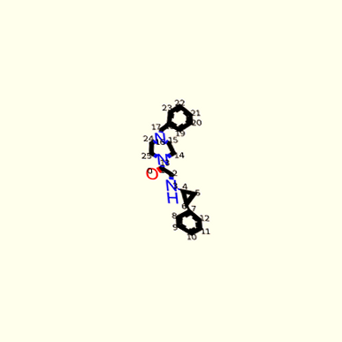 O=C(CN[C@@H]1C[C@H]1c1ccccc1)N1CCN(Cc2ccccc2)CC1